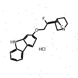 Cl.F/C(COc1ccc2c(c1)[nH]c1ccccc12)=C1/CN2CCC1CC2